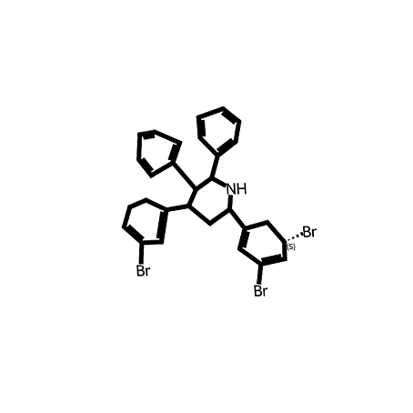 BrC1=CCCC(C2CC(C3=CC(Br)=C[C@@H](Br)C3)NC(c3ccccc3)C2c2ccccc2)=C1